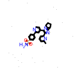 Cc1cccc(-c2nc3n(c2-c2ccnc(-c4ccc(S(N)(=O)=O)cc4)c2)C2CCC3C2)n1